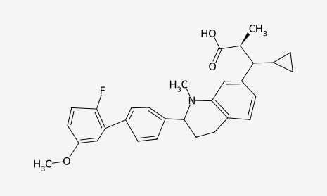 COc1ccc(F)c(-c2ccc(C3CCc4ccc(C(C5CC5)[C@H](C)C(=O)O)cc4N3C)cc2)c1